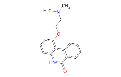 CN(C)CCOc1cccc2[nH]c(=O)c3ccccc3c12